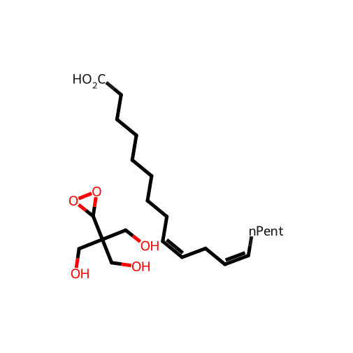 CCCCC/C=C\C/C=C\CCCCCCCC(=O)O.OCC(CO)(CO)C1OO1